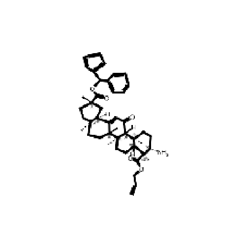 C=CCOC(=O)[C@@]1(C)[C@@H]2CC[C@]3(C)[C@H](C(=O)C=C4[C@@H]5C[C@@](C)(C(=O)OC(c6ccccc6)c6ccccc6)CC[C@]5(C)CC[C@]43C)[C@@]2(C)CC[C@@H]1N